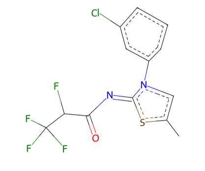 Cc1cn(-c2cccc(Cl)c2)c(=NC(=O)C(F)C(F)(F)F)s1